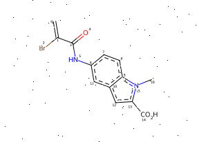 C=C(Br)C(=O)Nc1ccc2c(c1)cc(C(=O)O)n2C